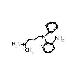 CN(C)CCCN(c1ccccc1)c1ncccc1N